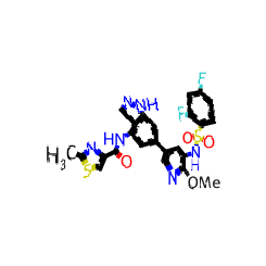 COc1ncc(-c2cc(NC(=O)c3csc(C)n3)c3cn[nH]c3c2)cc1NS(=O)(=O)c1ccc(F)cc1F